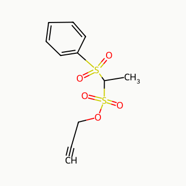 C#CCOS(=O)(=O)C(C)S(=O)(=O)c1ccccc1